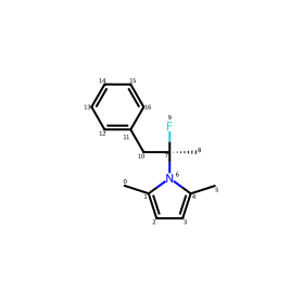 Cc1ccc(C)n1[C@](C)(F)Cc1ccccc1